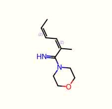 C/C=C\C=C(\C)C(=N)N1CCOCC1